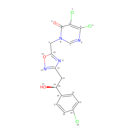 O=c1c(Cl)c(Cl)ncn1Cc1nc(C[C@H](O)c2ccc(Cl)cc2)no1